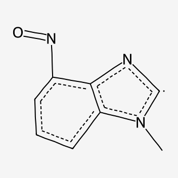 Cn1[c]nc2c(N=O)cccc21